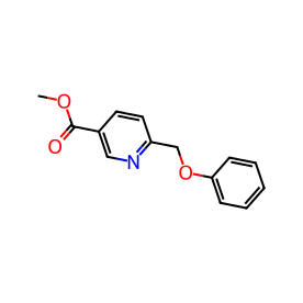 COC(=O)c1ccc(COc2ccccc2)nc1